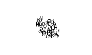 CC(CCC1(C)C2CCC3C4=C(C(C)C)C(=O)CC4(Cc4nnc(-c5ccncn5)o4)CCC3C2(C)CC[C@H]1C)OC(=O)CC(C)(C)C(=O)O